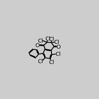 O=C1c2c(Cl)c(Cl)c(Cl)c(-c3ccccc3)c2C(=O)C(Cl)(Cl)C1(Cl)Cl